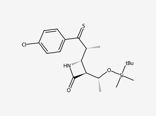 C[C@@H](O[Si](C)(C)C(C)(C)C)[C@H]1C(=O)N[C@@H]1[C@@H](C)C(=S)c1ccc(Cl)cc1